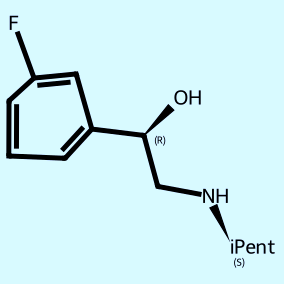 CCC[C@H](C)NC[C@H](O)c1cccc(F)c1